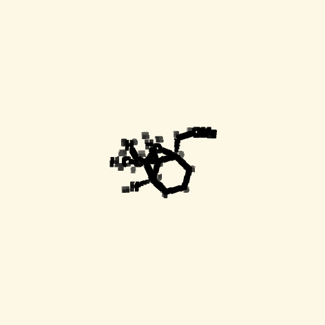 [3H]O[C@H]1[C@H]2CCC[C@]1(COC)O[C@H]2C